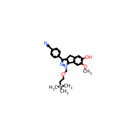 COc1cc2c(cc1O)Cc1c(-c3ccc(C#N)cc3)nn(COCC[Si](C)(C)C)c1-2